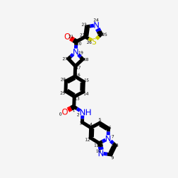 O=C(NCc1ccn2ccnc2c1)c1ccc(C2CN(C(=O)c3cncs3)C2)cc1